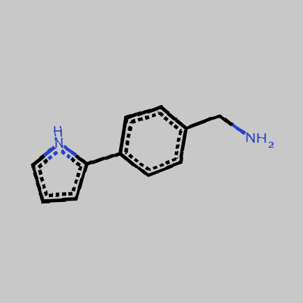 NCc1ccc(-c2ccc[nH]2)cc1